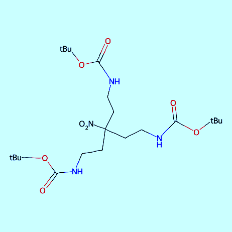 CC(C)(C)OC(=O)NCCC(CCNC(=O)OC(C)(C)C)(CCNC(=O)OC(C)(C)C)[N+](=O)[O-]